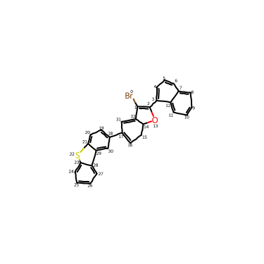 BrC1=C(c2cccc3ccccc23)OC2CC=C(c3ccc4sc5ccccc5c4c3)C=C12